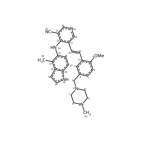 COc1ccc(CN2CCN(C)CC2)cc1C=Cc1cncc(C#N)c1Nc1ccc2[nH]ccc2c1C